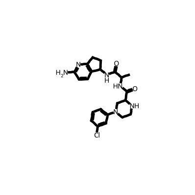 CC(NC(=O)C1CN(c2cccc(Cl)c2)CCN1)C(=O)NC1CCc2nc(N)ccc21